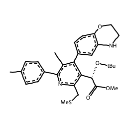 COC(=O)[C@@H](OC(C)(C)C)c1c(CSC)nc(-c2ccc(C)cc2)c(C)c1-c1ccc2c(c1)NCCO2